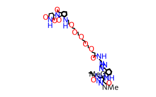 CNC(=O)c1nnc(NC(=O)C2CC2)cc1Nc1cccc(-c2ncn(CCNC(=O)CCOCCOCCOCCOCCOCCNc3cccc4c3C(=O)N(C3CCC(=O)NC3=O)C4=O)n2)c1OC